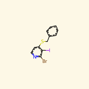 Brc1nccc(SCc2ccccc2)c1I